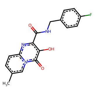 Cc1ccc2nc(C(=O)NCc3ccc(F)cc3)c(O)c(=O)n2c1